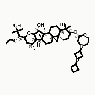 CCO[C@@H](C1C[C@@H](C)[C@H]2C(O1)[C@H](O)[C@@]1(C)C3CC[C@H]4C(C)(C)[C@@H](O[C@H]5CN(C6CN(C7CCC7)C6)CCO5)CC[C@@]45C[C@@]35CC[C@]21C)C(C)(C)O